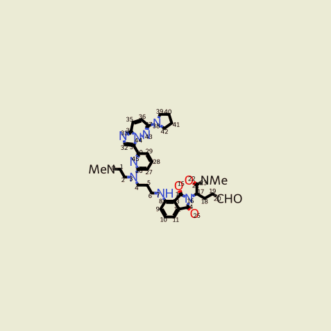 CNCCN(CCCNc1cccc2c1C(=O)N(C(CCC=O)C(=O)NC)C2=O)c1cccc(-c2cnc3ccc(N4CCCC4)nn23)n1